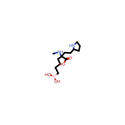 CNC(CCCCB(O)O)(CCC1CCCN1)C(=O)O